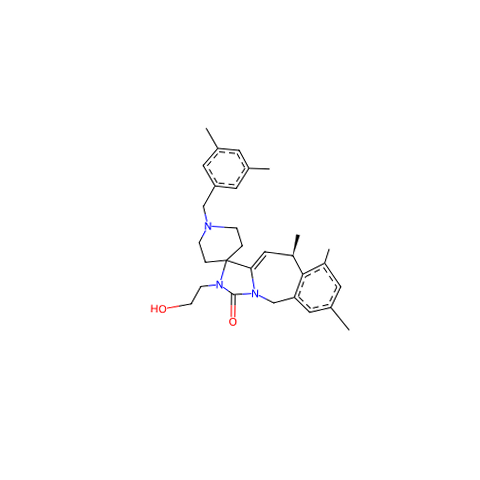 Cc1cc(C)cc(CN2CCC3(CC2)C2=C[C@@H](C)c4c(C)cc(C)cc4CN2C(=O)N3CCO)c1